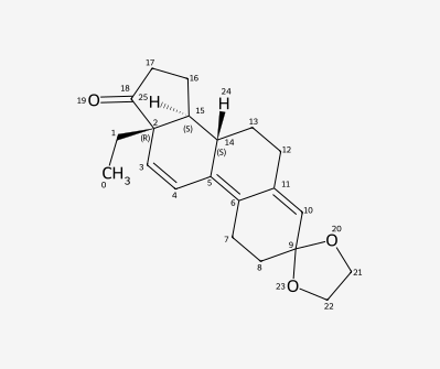 CC[C@]12C=CC3=C4CCC5(C=C4CC[C@H]3[C@@H]1CCC2=O)OCCO5